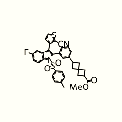 COC(=O)C1CC2(C1)CC(c1cccc(-c3c(-c4ccsc4C#N)c4cc(F)ccc4n3S(=O)(=O)c3ccc(C)cc3)c1)C2